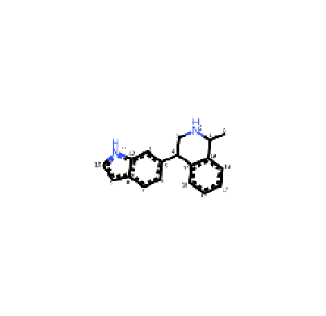 CC1NCC(c2ccc3cc[nH]c3c2)c2ccccc21